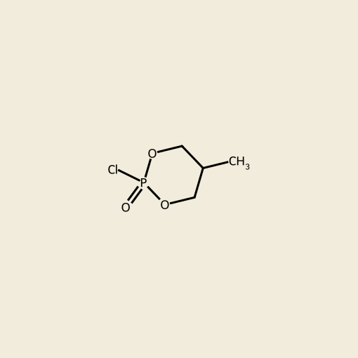 CC1COP(=O)(Cl)OC1